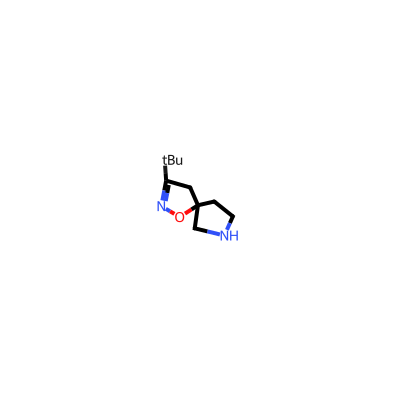 CC(C)(C)C1=NOC2(CCNC2)C1